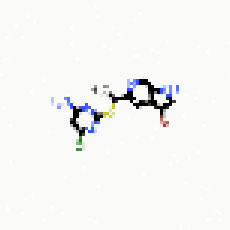 CC(Sc1nc(N)cc(Cl)n1)c1cc2c(Br)c[nH]c2cn1